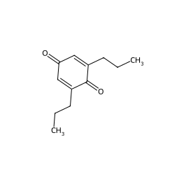 CCCC1=CC(=O)C=C(CCC)C1=O